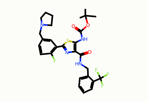 CC(C)(C)OC(=O)Nc1sc(-c2cc(CN3CCCC3)ccc2F)nc1C(=O)NCc1ccccc1C(F)(F)F